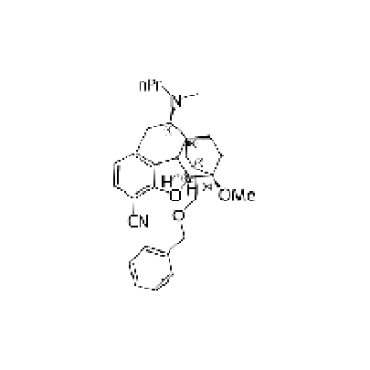 CCCN(C)[C@@H]1Cc2ccc(C#N)c3c2C2[C@@H](O3)[C@@]3(OC)CC[C@@]21C[C@@H]3COCc1ccccc1